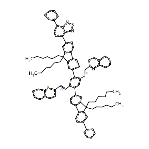 CCCCCCC1(CCCCCC)c2cc(-c3ccccc3)ccc2-c2ccc(-c3cc(/C=C/c4ccc5ccccc5n4)c(-c4ccc5c(c4)C(CCCCCC)(CCCCCC)c4cc(-c6ccc(-c7ccccc7)c7nsnc67)ccc4-5)cc3/C=C/c3ccc4ccccc4n3)cc21